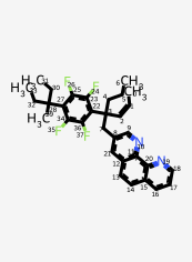 C/C=C\C(CCC)(Cc1cnc2c(ccc3cccnc32)c1)c1c(F)c(F)c(C(C)(CC)CC)c(F)c1F